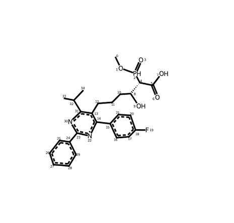 CO[PH](=O)[C@H](C(=O)O)C(O)CCCc1c(-c2ccc(F)cc2)nc(-c2ccccc2)nc1C(C)C